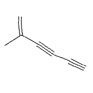 C#CC#CC(=C)C